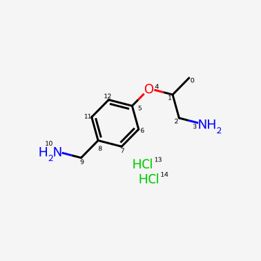 CC(CN)Oc1ccc(CN)cc1.Cl.Cl